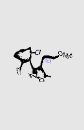 CO/C=C/c1c(-c2c(Cl)cccc2Cl)noc1C